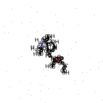 C[N+]1=C(/C=C/C=C/C=C2\N(CCCCCC(O)NCc3cn(-c4cccc(C(=O)NC(CCCCN)C(=O)COc5c(F)cc(CNC(=O)C6CCN(S(=O)(=O)c7ccccc7-c7c8cc/c(=[N+]9\CCc%10cc(S(=O)(=O)O)ccc%109)cc-8oc8cc(N9CCc%10cc(S(=O)(=O)O)ccc%109)ccc78)CC6)cc5F)c4)nn3)c3ccc(S(=O)(=O)O)cc3C2(C)C)C(C)(C)c2cc(S(=O)(=O)O)ccc21